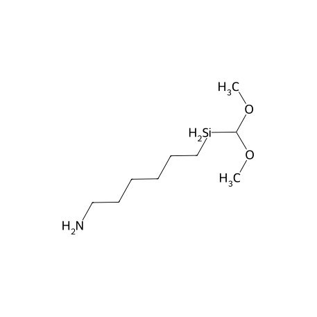 COC(OC)[SiH2]CCCCCCN